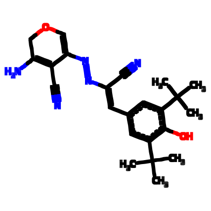 CC(C)(C)c1cc(/C=C(\C#N)N=NC2=COCC(N)=C2C#N)cc(C(C)(C)C)c1O